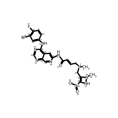 CN(C/C=C/C(=O)Nc1cc2c(Nc3ccc(F)c(Br)c3)ncnc2cn1)Cc1c([N+](=O)[O-])[nH]n1C